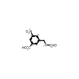 O=COCc1cc(C(=O)O)cc([N+](=O)[O-])c1